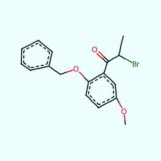 COc1ccc(OCc2ccccc2)c(C(=O)C(C)Br)c1